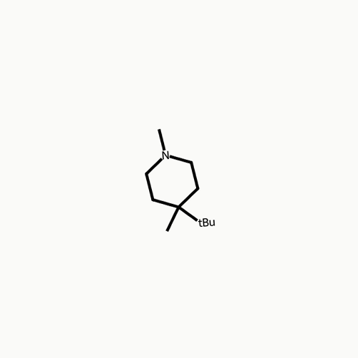 CN1CCC(C)(C(C)(C)C)CC1